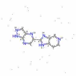 c1cc2[nH]c(-c3cnc4[nH]ncc4n3)nc2cn1